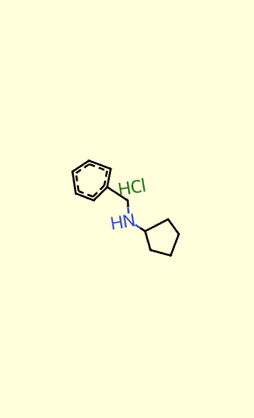 Cl.c1ccc(CNC2CCCC2)cc1